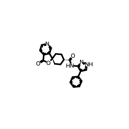 O=C1O[C@]2(CC[C@@H](C(=O)Nc3n[nH]cc3-c3ccccc3)CC2)c2cnccc21